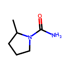 CC1CCCN1C(N)=O